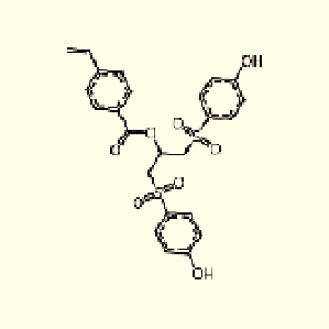 C=Cc1ccc(C(=O)OC(CS(=O)(=O)c2ccc(O)cc2)CS(=O)(=O)c2ccc(O)cc2)cc1